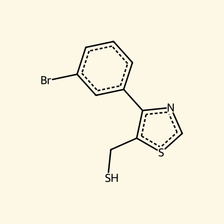 SCc1scnc1-c1cccc(Br)c1